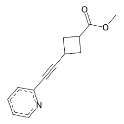 COC(=O)C1CC(C#Cc2ccccn2)C1